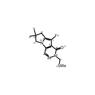 CSCn1ncc2c(c(F)c3n2CC(C)(C)C3)c1=O